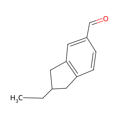 CCC1Cc2ccc(C=O)cc2C1